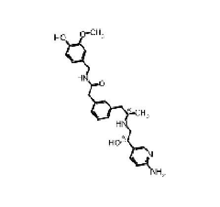 COc1cc(CNC(=O)Cc2cccc(C[C@@H](C)NC[C@@H](O)c3ccc(N)nc3)c2)ccc1O